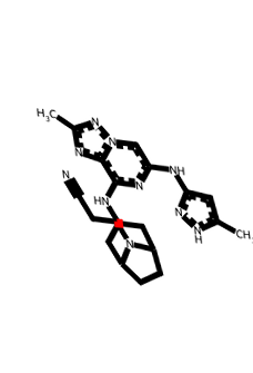 Cc1nc2c(NC3CC4CCC(C3)N4CCC#N)nc(Nc3cc(C)[nH]n3)cn2n1